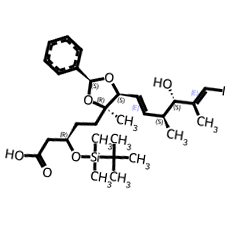 C/C(=C\I)[C@@H](O)[C@@H](C)/C=C/[C@@H]1O[C@H](c2ccccc2)O[C@]1(C)CC[C@H](CC(=O)O)O[Si](C)(C)C(C)(C)C